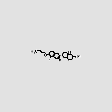 C/C=C/COc1ccc2cc([C@@H]3CC[C@@H]4CC(CCC)CCC4C3)c(F)cc2c1F